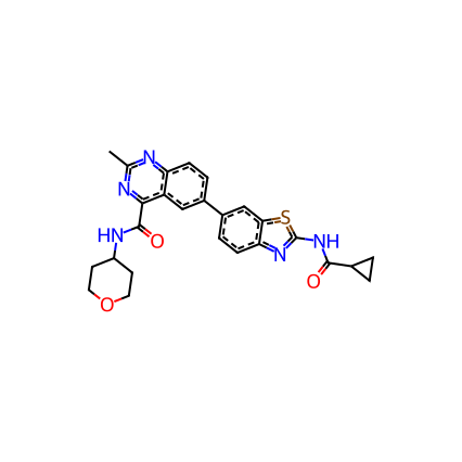 Cc1nc(C(=O)NC2CCOCC2)c2cc(-c3ccc4nc(NC(=O)C5CC5)sc4c3)ccc2n1